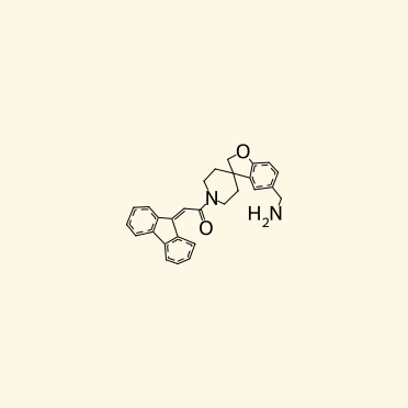 NCc1ccc2c(c1)C1(CCN(C(=O)C=C3c4ccccc4-c4ccccc43)CC1)CO2